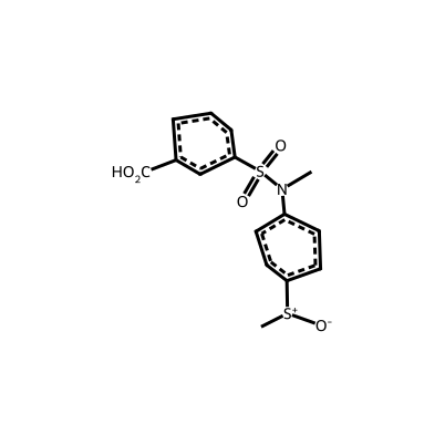 CN(c1ccc([S+](C)[O-])cc1)S(=O)(=O)c1cccc(C(=O)O)c1